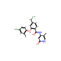 Cc1c[nH]c(=O)cc1NC(=O)c1ccc(CF)cc1Oc1ccc(F)cc1C